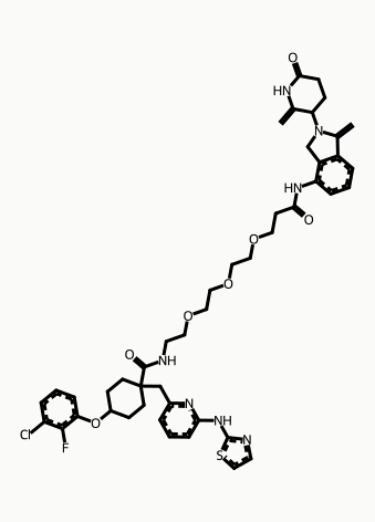 C=C1NC(=O)CCC1N1Cc2c(NC(=O)CCOCCOCCOCCNC(=O)C3(Cc4cccc(Nc5nccs5)n4)CCC(Oc4cccc(Cl)c4F)CC3)cccc2C1=C